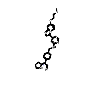 COCCOc1ccn2c(-c3cc(NCc4ccc(/C(C=N)=C5\CCCN5)cc4)ncn3)cnc2c1